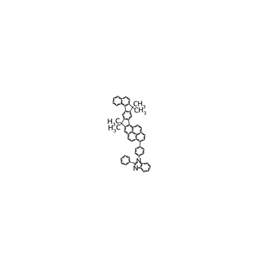 CC1(C)c2cc3c(cc2-c2c1ccc1ccccc21)C(C)(C)c1cc2ccc4c(-c5ccc(-n6c(-c7ccccc7)nc7ccccc76)cc5)ccc5ccc(c1-3)c2c54